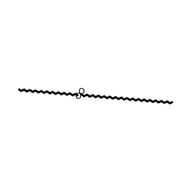 CCCCCCCCCCCCCCCCCCCCCCCCCCCCCCCCC(=O)OCCCCCCCCCCCCCCCCCCCCC